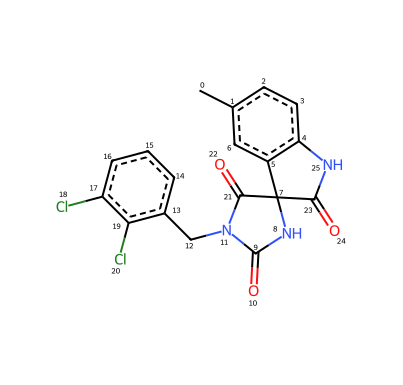 Cc1ccc2c(c1)C1(NC(=O)N(Cc3cccc(Cl)c3Cl)C1=O)C(=O)N2